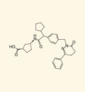 O=C(N[C@H]1CC[C@@H](C(=O)O)C1)C(c1ccc(CN2N=C(c3ccccc3)CCC2=O)cc1)C1CCCC1